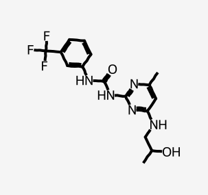 Cc1cc(NCC(C)O)nc(NC(=O)Nc2cccc(C(F)(F)F)c2)n1